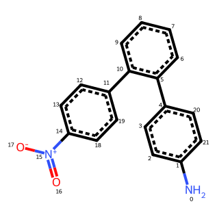 Nc1ccc(-c2ccccc2-c2ccc([N+](=O)[O-])cc2)cc1